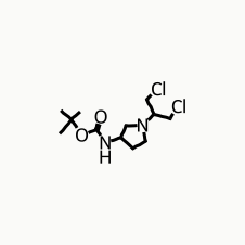 CC(C)(C)OC(=O)NC1CCN(C(CCl)CCl)C1